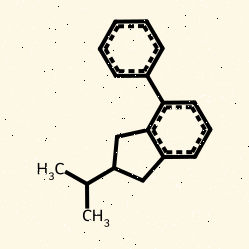 CC(C)C1Cc2cccc(-c3ccccc3)c2C1